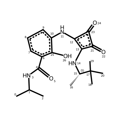 CC(C)NC(=O)c1cccc(Nc2c(N[C@@H](C)C(C)(C)C)c(=O)c2=O)c1O